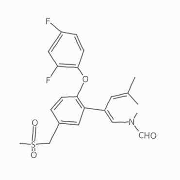 CC(C)=C/C(=C\N(C)C=O)c1cc(CS(C)(=O)=O)ccc1Oc1ccc(F)cc1F